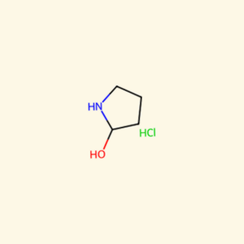 Cl.OC1CCCN1